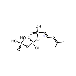 CC(C)=C/C=C/P(=O)(O)OP(=O)(O)OP(=O)(O)O